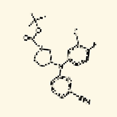 CC(C)(C)OC(=O)N1CCC(N(c2ccc(F)c(Cl)c2)c2cccc(C#N)n2)C1